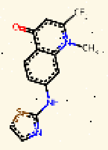 Cn1c(C(F)(F)F)cc(=O)c2ccc(Nc3nccs3)cc21